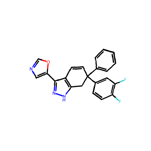 Fc1ccc(C2(c3ccccc3)C=Cc3c(-c4cnco4)n[nH]c3C2)cc1F